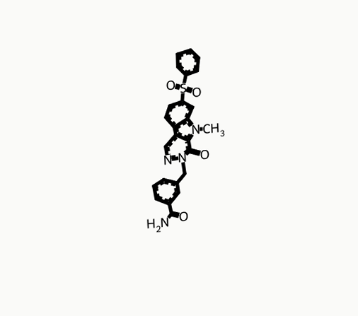 Cn1c2cc(S(=O)(=O)c3ccccc3)ccc2c2cnn(Cc3cccc(C(N)=O)c3)c(=O)c21